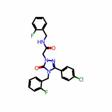 O=C(Cn1nc(-c2ccc(Cl)cc2)n(Cc2ccccc2F)c1=O)NCc1ccccc1F